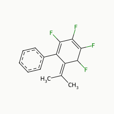 CC(C)=C1C(c2ccccc2)=C(F)C(F)=C(F)C1F